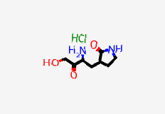 Cl.NC(CC1CCNC1=O)C(=O)CO